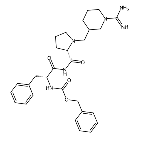 N=C(N)N1CCCC(CN2CCC[C@H]2C(=O)NC(=O)[C@@H](Cc2ccccc2)NC(=O)OCc2ccccc2)C1